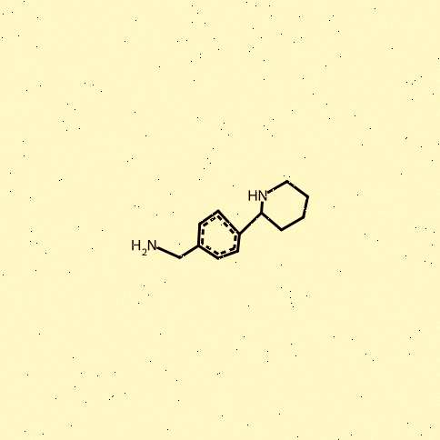 NCc1ccc(C2CCCCN2)cc1